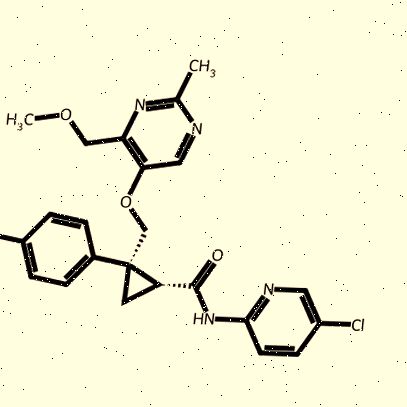 COCc1nc(C)ncc1OC[C@@]1(c2ccc(F)cc2)C[C@H]1C(=O)Nc1ccc(Cl)cn1